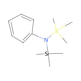 C[Si](C)(C)N(c1ccccc1)S(C)(C)C